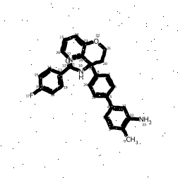 Cc1ccc(-c2ccc(C3(NC(=O)c4ccc(F)cc4)CCOc4cccnc43)cc2)cc1N